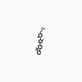 Cc1cc(CCO)ccc1-c1ccc(-c2ccc3c(c2)C(C)(C)c2ccccc2-3)cc1C